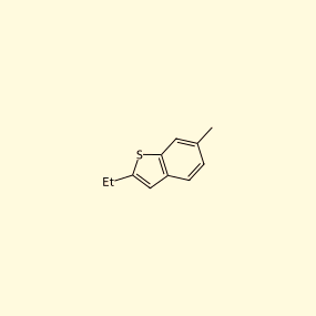 CCc1cc2ccc(C)cc2s1